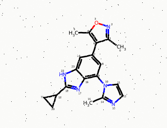 Cc1noc(C)c1-c1cc(-n2ccnc2C)c2nc(C3CC3)[nH]c2c1